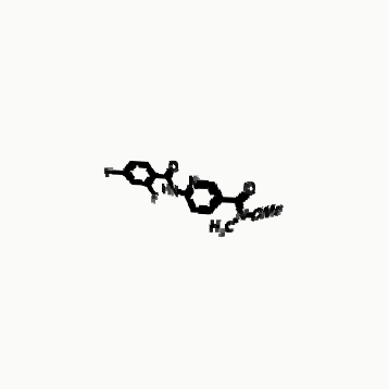 CON(C)C(=O)c1ccc(NC(=O)c2ccc(F)cc2F)nc1